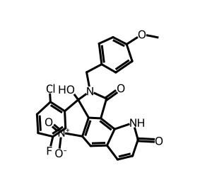 COc1ccc(CN2C(=O)c3c(c([N+](=O)[O-])cc4ccc(=O)[nH]c34)C2(O)c2cc(F)ccc2Cl)cc1